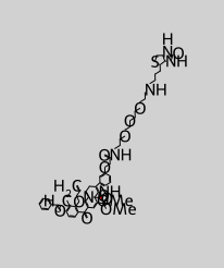 C=CCOc1c(C(=O)C2=CN3CCc4c([nH]c5ccc(OCC(=O)NCCCOCCOCCOCCCNCCCCC6SCC7NC(=O)NC76)cc45)C3(C(=O)OC)C(C(=O)OC)=C2)ccc(OCc2ccccc2)c1C